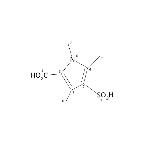 Cc1c(S(=O)(=O)O)c(C)n(C)c1C(=O)O